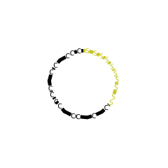 C1CCCCCCCCCSSSSSSSSSSCCCCCCCC1